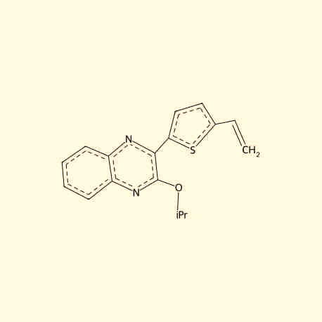 C=Cc1ccc(-c2nc3ccccc3nc2OC(C)C)s1